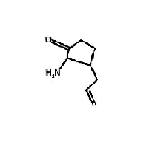 C=CCC1CCC(=O)C1N